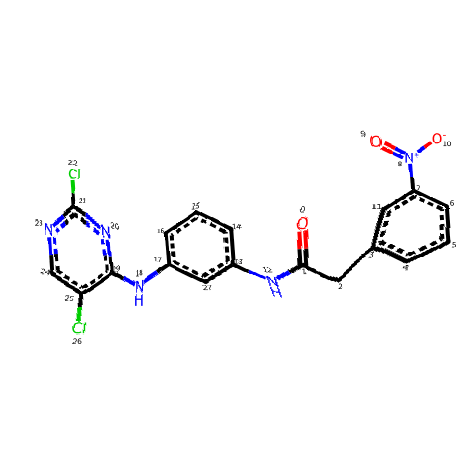 O=C(Cc1cccc([N+](=O)[O-])c1)Nc1cccc(Nc2nc(Cl)ncc2Cl)c1